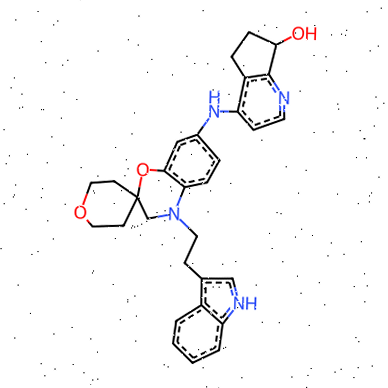 OC1CCc2c(Nc3ccc4c(c3)OC3(CCOCC3)CN4CCc3c[nH]c4ccccc34)ccnc21